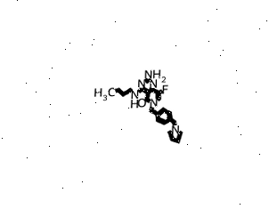 CCCCNc1nc(N)nc2c(F)cn(Cc3ccc(CN4CCCC4)cc3)c(=O)c12